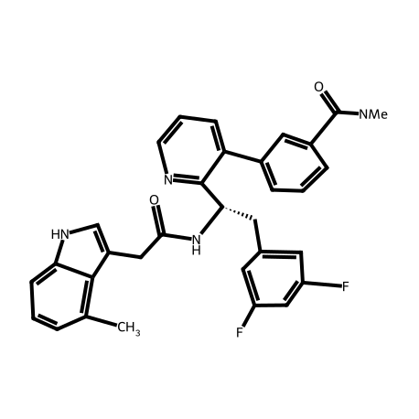 CNC(=O)c1cccc(-c2cccnc2[C@H](Cc2cc(F)cc(F)c2)NC(=O)Cc2c[nH]c3cccc(C)c23)c1